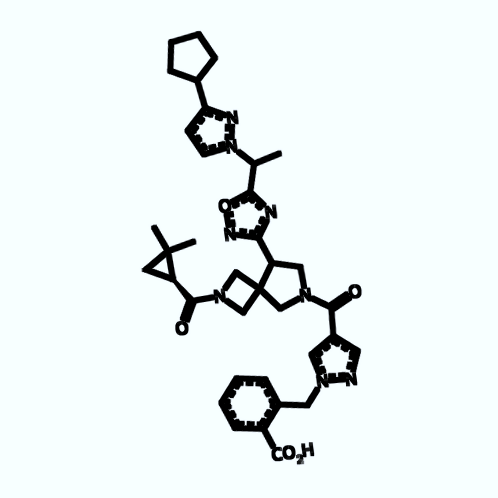 CC(c1nc(C2CN(C(=O)c3cnn(Cc4ccccc4C(=O)O)c3)CC23CN(C(=O)[C@H]2CC2(C)C)C3)no1)n1ccc(C2CCCC2)n1